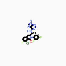 CC(Nc1ncnc2[nH]cnc12)c1cc2ccc(F)c(Cl)c2c(=O)n1-c1ccc(F)cc1F